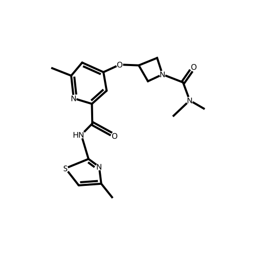 Cc1cc(OC2CN(C(=O)N(C)C)C2)cc(C(=O)Nc2nc(C)cs2)n1